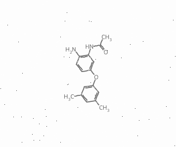 CC(=O)Nc1cc(Oc2cc(C)cc(C)c2)ccc1N